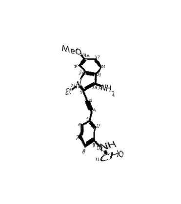 CCn1c(C#Cc2cccc(NC=O)c2)c(N)c2ccc(OC)cc21